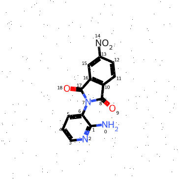 Nc1ncccc1N1C(=O)c2ccc([N+](=O)[O-])cc2C1=O